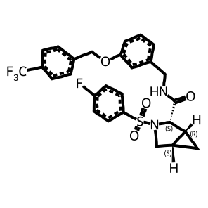 O=C(NCc1cccc(OCc2ccc(C(F)(F)F)cc2)c1)[C@@H]1[C@@H]2C[C@@H]2CN1S(=O)(=O)c1ccc(F)cc1